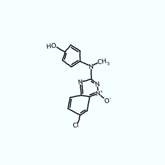 CN(c1ccc(O)cc1)c1nc2ccc(Cl)cc2[n+]([O-])n1